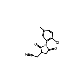 Cc1ccc(Cl)c(N2C(=O)CC(CC#N)C2=O)c1